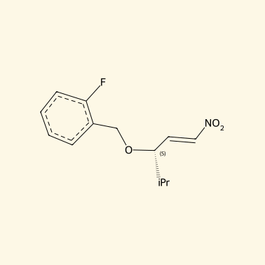 CC(C)[C@@H](C=C[N+](=O)[O-])OCc1ccccc1F